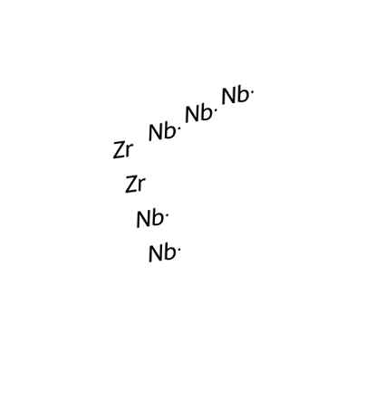 [Nb].[Nb].[Nb].[Nb].[Nb].[Zr].[Zr]